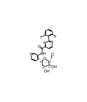 O=C(Nc1cnccc1[C@H]1C[C@@H](O)[C@H](O)[C@@H](CCl)O1)c1ccnc(-c2c(F)cccc2F)n1